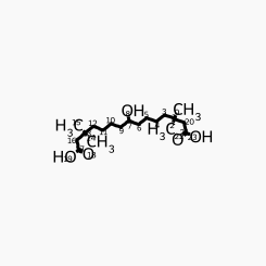 CC(C)(CCCCC(O)CCCCC(C)(C)CC(=O)O)CC(=O)O